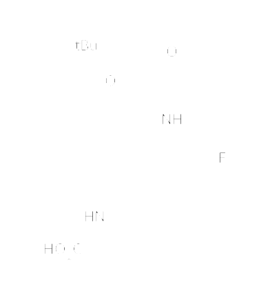 CC(C)(C)OC(=O)NCc1c(F)cccc1NC(=O)O